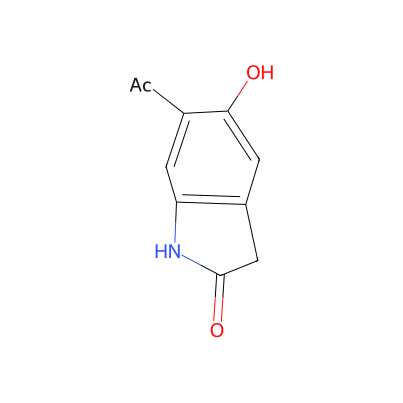 CC(=O)c1cc2c(cc1O)CC(=O)N2